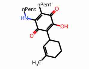 CCCCCNC1=C(CCCCC)C(=O)C(O)=C(C2C=C(C)CCC2)C1=O